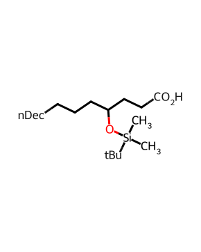 CCCCCCCCCCCCCC(CCC(=O)O)O[Si](C)(C)C(C)(C)C